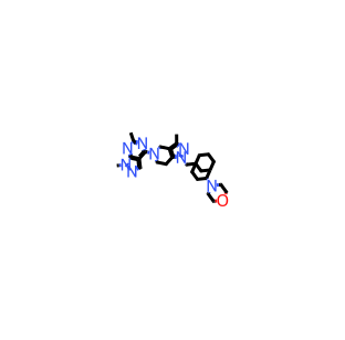 Cc1nc(N2CCc3c(c(C)nn3CC34CCCC(C3)C(N3CCOCC3)CC4)C2)c2cnn(C)c2n1